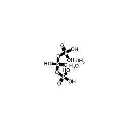 O.O.O=P(O)(O)OP(=O)(O)OP(=O)(O)O